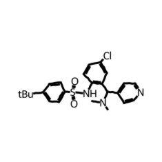 CN(C)C(c1ccncc1)c1cc(Cl)ccc1NS(=O)(=O)c1ccc(C(C)(C)C)cc1